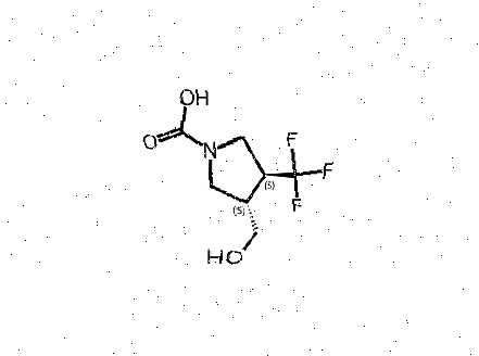 O=C(O)N1C[C@@H](CO)[C@H](C(F)(F)F)C1